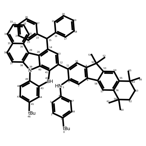 CC(C)(C)c1ccc(Nc2cc3c(cc2-c2cc(C(c4ccccc4)c4ccccc4)c4c5c6ccccc6ccc5n5c4c2Bc2cc(C(C)(C)C)ccc2-5)C(C)(C)c2cc4c(cc2-3)C(C)(C)CCC4(C)C)cc1